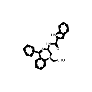 O=CCN1CC(NC(=O)c2cc3ccccc3[nH]2)N=C(c2ccccc2)c2ccccc21